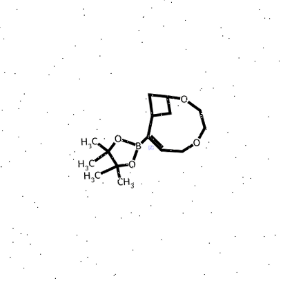 CC1(C)OB(/C2=C/COCCOC3CC2C3)OC1(C)C